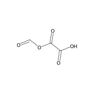 O=COC(=O)C(=O)O